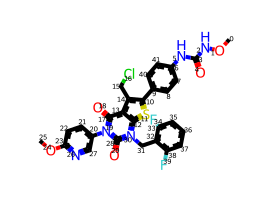 CONC(=O)Nc1ccc(-c2sc3c(c2CCl)c(=O)n(-c2ccc(OC)nc2)c(=O)n3Cc2c(F)cccc2F)cc1